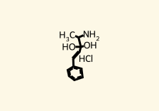 CC(N)C(O)(O)C=Cc1ccccc1.Cl